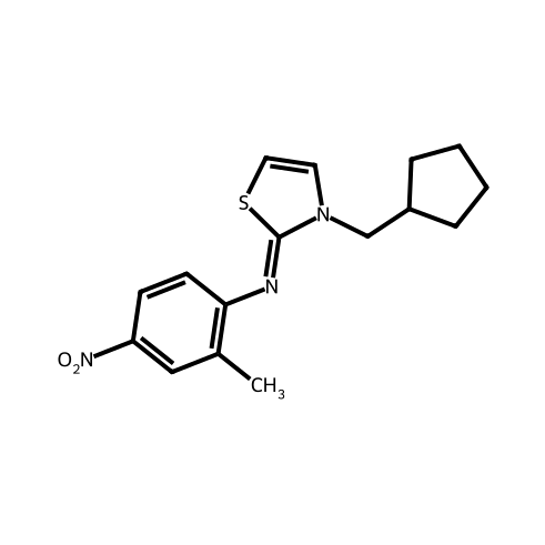 Cc1cc([N+](=O)[O-])ccc1N=c1sccn1CC1CCCC1